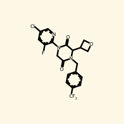 O=C1C(C2COC2)N(Cc2ccc(C(F)(F)F)cc2)C(=O)CN1c1ncc(Cl)cc1F